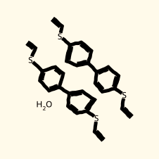 C=CSc1ccc(-c2ccc(SC=C)cc2)cc1.C=CSc1ccc(-c2ccc(SC=C)cc2)cc1.O